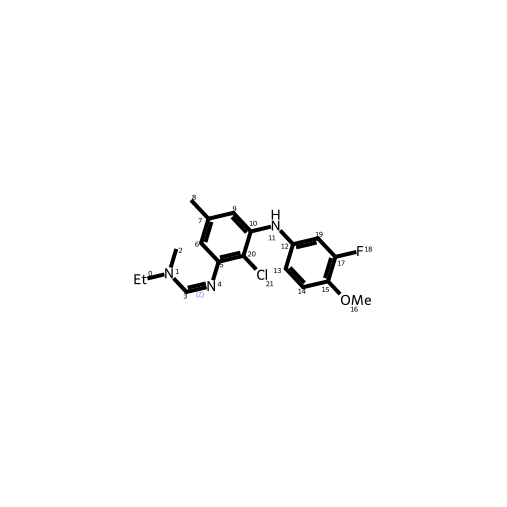 CCN(C)/C=N\c1cc(C)cc(Nc2ccc(OC)c(F)c2)c1Cl